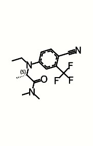 CCN(c1ccc(C#N)c(C(F)(F)F)c1)[C@@H](C)C(=O)N(C)C